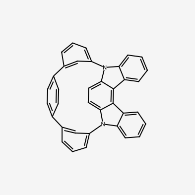 c1ccc2c(c1)c1c3c4ccccc4n4c5cccc(c5)c5ccc(cc5)c5cccc(c5)n2c1ccc34